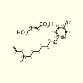 C=CCN(C)CCCCCCOc1ccc(C(C)=O)cn1.O=C(O)C=CC(=O)O